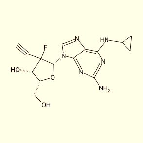 C#CC1(F)[C@@H](O)[C@@H](CO)O[C@H]1n1cnc2c(NC3CC3)nc(N)nc21